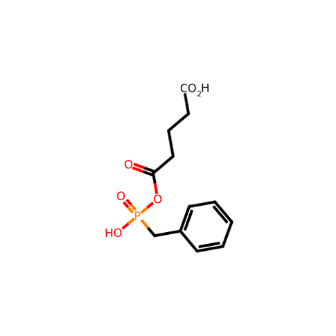 O=C(O)CCCC(=O)OP(=O)(O)Cc1ccccc1